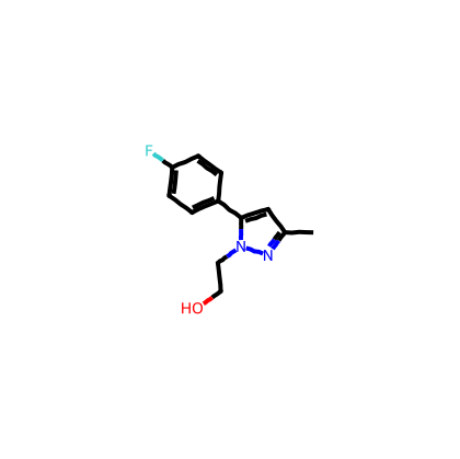 Cc1cc(-c2ccc(F)cc2)n(CCO)n1